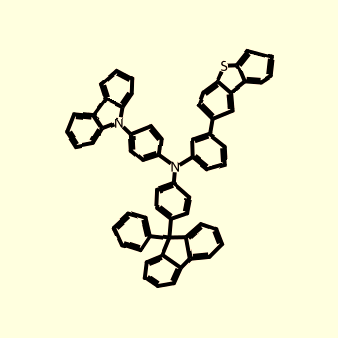 c1ccc(C2(c3ccc(N(c4ccc(-n5c6ccccc6c6ccccc65)cc4)c4cccc(-c5ccc6sc7ccccc7c6c5)c4)cc3)c3ccccc3-c3ccccc32)cc1